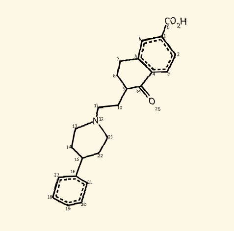 O=C(O)c1ccc2c(c1)CCC(CCN1CCC(c3ccccc3)CC1)C2=O